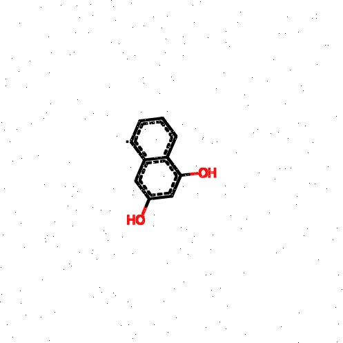 Oc1cc(O)c2ccc[c]c2c1